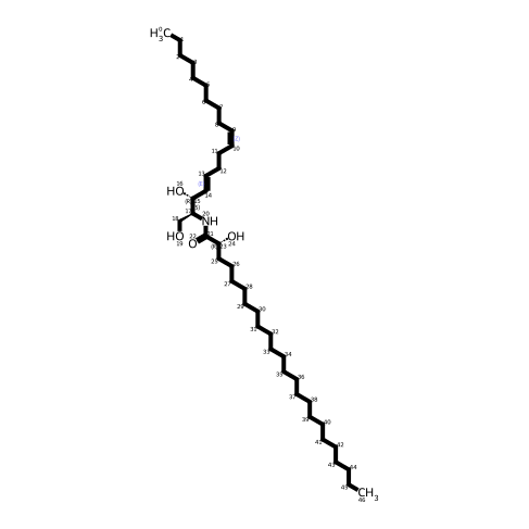 CCCCCCCCC/C=C\CC/C=C/[C@@H](O)[C@H](CO)NC(=O)[C@H](O)CCCCCCCCCCCCCCCCCCCCCC